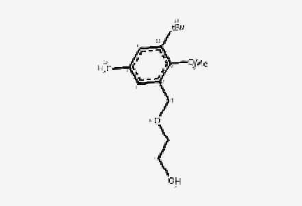 COc1c(COCCO)cc(C)cc1C(C)(C)C